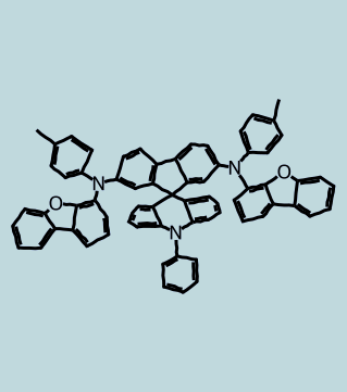 Cc1ccc(N(c2ccc3c(c2)C2(c4cc(N(c5ccc(C)cc5)c5cccc6c5oc5ccccc56)ccc4-3)c3ccccc3N(c3ccccc3)c3ccccc32)c2cccc3c2oc2ccccc23)cc1